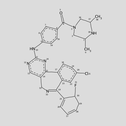 CC1CN(C(=O)c2ccc(Nc3ncc4c(n3)-c3ccc(Cl)cc3C(C3=CC=CCC3F)=NC4)cc2)CC(C)N1